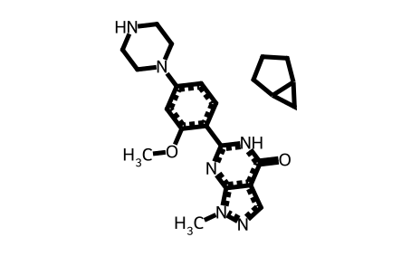 C1CC2CC2C1.COc1cc(N2CCNCC2)ccc1-c1nc2c(cnn2C)c(=O)[nH]1